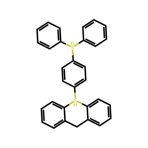 c1ccc([SH](c2ccccc2)c2ccc([SH]3c4ccccc4Cc4ccccc43)cc2)cc1